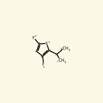 CC(C)c1sc(F)cc1F